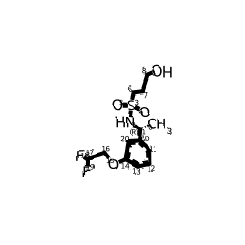 C[C@@H](NS(=O)(=O)CCCO)c1cccc(OCC(F)F)c1